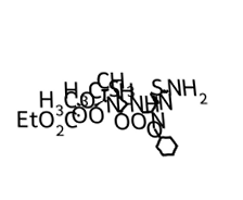 CCOC(=O)OC(C)OC(=O)[C@@H]1N2C(=O)[C@H](NC(=O)/C(=N\OC3CCCCC3)c3csc(N)n3)[C@H]2SC1(C)C